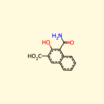 NC(=O)c1c(O)c(C(=O)O)cc2ccccc12